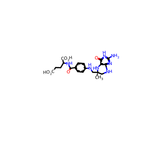 C[C@]1(CNc2ccc(C(=O)NC(CCC(=O)O)C(=O)O)cc2)CNc2nc(N)[nH]c(=O)c2N1